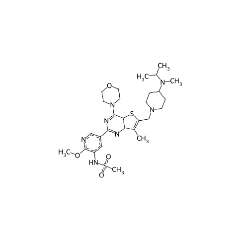 COc1ncc(C2=NC3C(C)=C(CN4CCC(N(C)C(C)C)CC4)SC3C(N3CCOCC3)=N2)cc1NS(C)(=O)=O